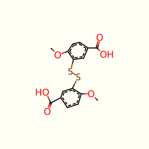 COc1ccc(C(=O)O)cc1SSc1cc(C(=O)O)ccc1OC